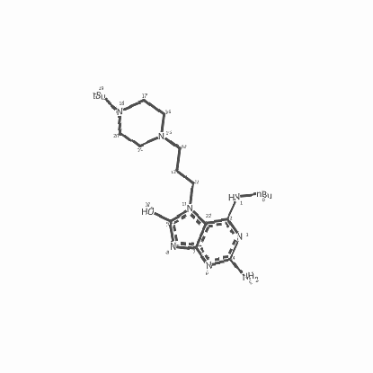 CCCCNc1nc(N)nc2nc(O)n(CCCN3CCN(C(C)(C)C)CC3)c12